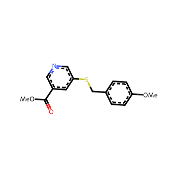 COC(=O)c1cncc(SCc2ccc(OC)cc2)c1